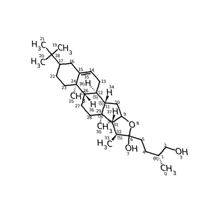 C[C@@H](CO)CCC1(O)OC2C[C@H]3[C@@H]4CC=C5CC(C(C)(C)C)CC[C@]5(C)[C@H]4CC[C@]3(C)[C@H]2[C@@H]1C